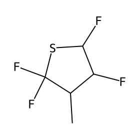 CC1C(F)C(F)SC1(F)F